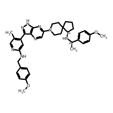 COc1ccc(CNc2cc(-c3n[nH]c4nc(N5CCC6(CCC[C@H]6N[C@H](C)c6ccc(OC)cc6)CC5)cnc34)c(C)cn2)cc1